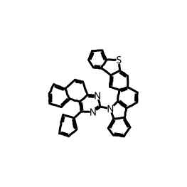 c1ccc(-c2nc(-n3c4ccccc4c4ccc5cc6sc7ccccc7c6cc5c43)nc3ccc4ccccc4c23)cc1